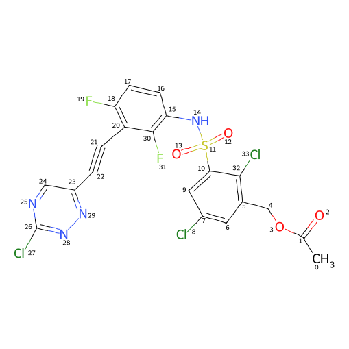 CC(=O)OCc1cc(Cl)cc(S(=O)(=O)Nc2ccc(F)c(C#Cc3cnc(Cl)nn3)c2F)c1Cl